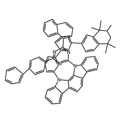 CC1CC(C)(C)c2ccc(-c3cccc(-c4cccc(-n5c6ccccc6c6ccc7c8ccccc8n(-c8nc(-c9ccc(-c%10ccccc%10)cc9)nc(-c9cccc%10ccccc9%10)n8)c7c65)c4)c3)cc2C1(C)C